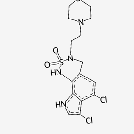 O=S1(=O)Nc2c(cc(Cl)c3c(Cl)c[nH]c23)CN1CCN1CCOCC1